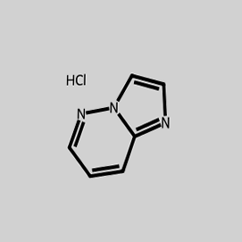 Cl.c1cnn2ccnc2c1